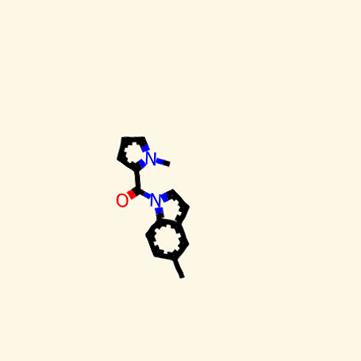 Cc1ccc2c(ccn2C(=O)c2cccn2C)c1